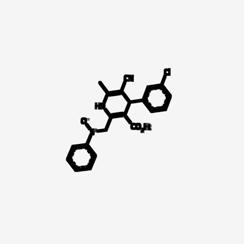 CCOC(=O)C1=C(C[S+]([O-])c2ccccc2)NC(C)=C(C#N)C1c1cccc(Cl)c1